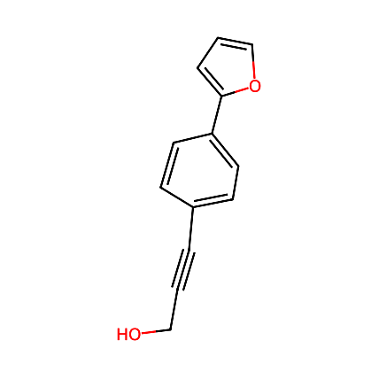 OCC#Cc1ccc(-c2ccco2)cc1